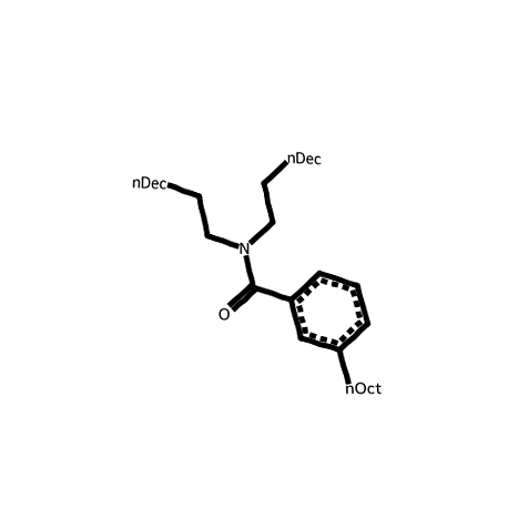 CCCCCCCCCCCCN(CCCCCCCCCCCC)C(=O)c1cccc(CCCCCCCC)c1